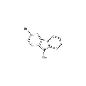 CC(C)(C)n1c2ccccc2c2cc(Br)ccc21